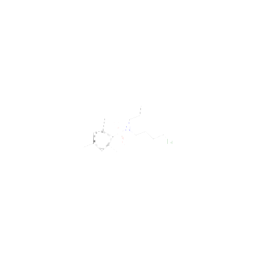 CCCN(CCCCBr)S(=O)(=O)c1c(C)cc(C)cc1C